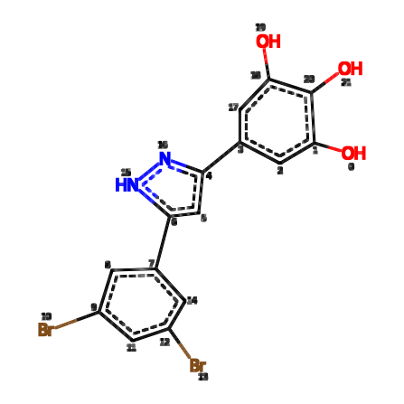 Oc1cc(-c2cc(-c3cc(Br)cc(Br)c3)[nH]n2)cc(O)c1O